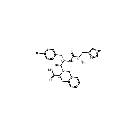 NC(=O)[C@@H]1Cc2ccccc2CN1C(=O)[C@H](Cc1ccc(O)cc1)NC(=O)[C@@H](N)Cc1c[nH]cn1